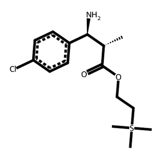 C[C@H](C(=O)OCCS(C)(C)C)[C@H](N)c1ccc(Cl)cc1